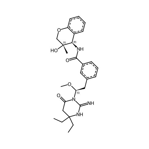 CCC1(CC)CC(=O)N([C@H](Cc2cccc(C(=O)N[C@@H]3c4ccccc4OC[C@@]3(C)O)c2)OC)C(=N)N1